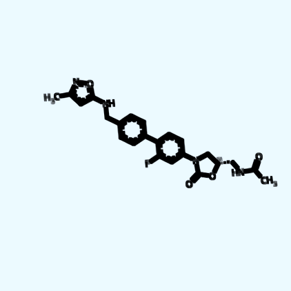 CC(=O)NC[C@H]1CN(c2ccc(-c3ccc(CNc4cc(C)no4)cc3)c(F)c2)C(=O)O1